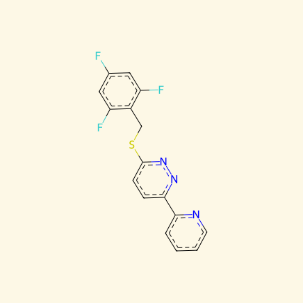 Fc1cc(F)c(CSc2ccc(-c3ccccn3)nn2)c(F)c1